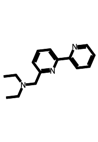 CCN(CC)Cc1cccc(-c2ccccn2)n1